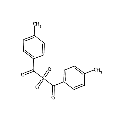 Cc1ccc(C(=O)S(=O)(=O)C(=O)c2ccc(C)cc2)cc1